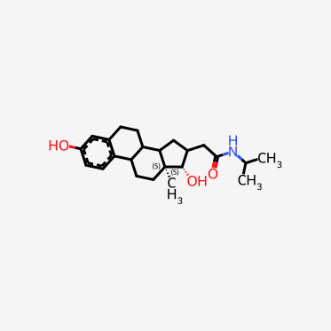 CC(C)NC(=O)CC1CC2C3CCc4cc(O)ccc4C3CC[C@]2(C)[C@H]1O